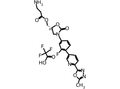 Cc1nnc(-c2ccc(-c3ccc(N4C[C@H](COC(=O)CCN)OC4=O)cc3F)cn2)o1.O=C(O)C(F)(F)F